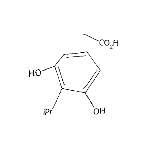 CC(=O)O.CC(C)c1c(O)cccc1O